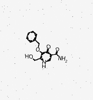 NC(=O)c1c[nH]c(CO)c(OCc2ccccc2)c1=O